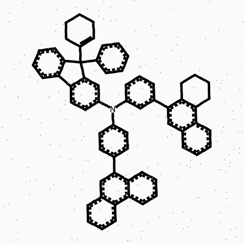 C1=C(C2(c3ccccc3)c3ccccc3-c3ccc(N(c4ccc(-c5cc6ccccc6c6ccccc56)cc4)c4cccc(-c5cc6ccccc6c6c5CCCC6)c4)cc32)CCCC1